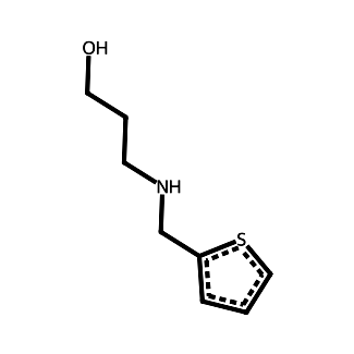 OCCCNCc1cccs1